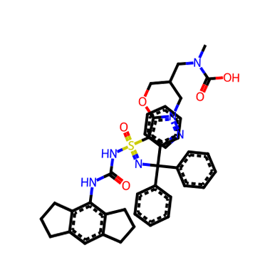 CN(CC1COc2c(S(=O)(=NC(c3ccccc3)(c3ccccc3)c3ccccc3)NC(=O)Nc3c4c(cc5c3CCC5)CCC4)cnn2C1)C(=O)O